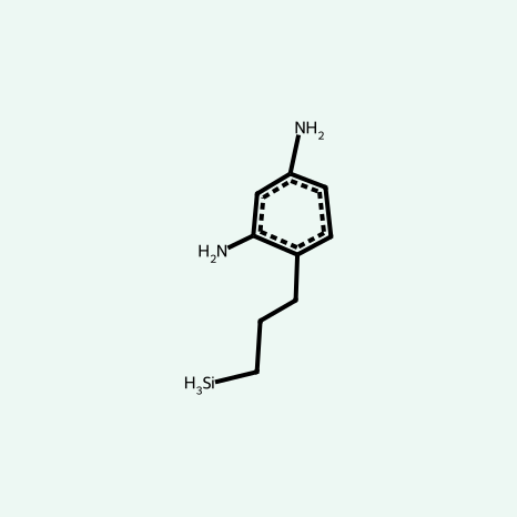 Nc1ccc(CCC[SiH3])c(N)c1